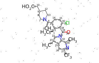 C=Cc1c(C(=C)N2CCC(CC(=O)O)CC2)ccc(Cl)c1C(=O)n1cc(C)c2cc(C(F)(F)F)nc(C)c21